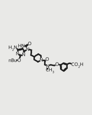 CCCCOc1nc(N)c2[nH]c(=O)n(CCC3CCN(C(=O)CN(C)CCOc4cccc(CC(=O)O)c4)CC3)c2n1